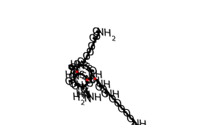 N=C(N)NCCC[C@@H]1CC(=O)[C@@H]2CSSC[C@H](NC(=O)[C@H](CC(=O)O)CC(=O)CNC1=O)C(=O)C[C@@H](Cc1ccccc1)C(=O)N[C@H](C(=O)CCCOCCOCCOCCCC(=O)COCC(N)=O)CSCC(=O)N[C@@H](CCCCNC(=O)COCC(=O)NCCOCCOCCOCCOCCOCCNC(=O)CO/N=C/c1ccc([18F])cc1)C(=O)N2